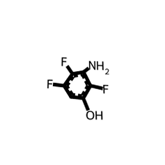 Nc1c(F)c(O)cc(F)c1F